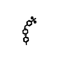 Cc1ccc(N2CCN(Cc3ccc(S(C)(=O)=O)cc3)CC2)cc1